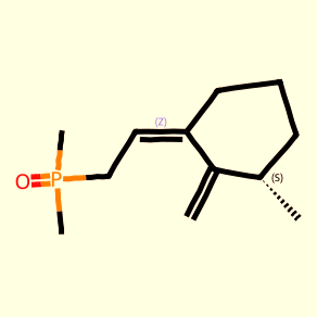 C=C1/C(=C\CP(C)(C)=O)CCC[C@@H]1C